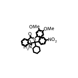 COc1ccc(N(C(=O)c2ccccc2C)C(C(N)=O)(c2ccc([N+](=O)[O-])cc2)C2CCCCC2)cc1OC